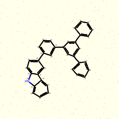 c1ccc(-c2cc(-c3ccccc3)cc(-c3cccc(-c4ccc5[nH]c6ccccc6c5c4)c3)c2)cc1